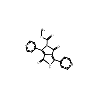 CC(C)(C)OC(=O)N1C(=O)C2=C(c3ccncc3)NC(=O)C2=C1c1ccncc1